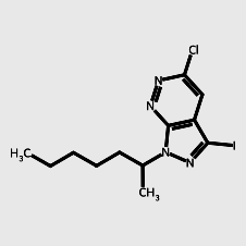 CCCCCC(C)n1nc(I)c2cc(Cl)nnc21